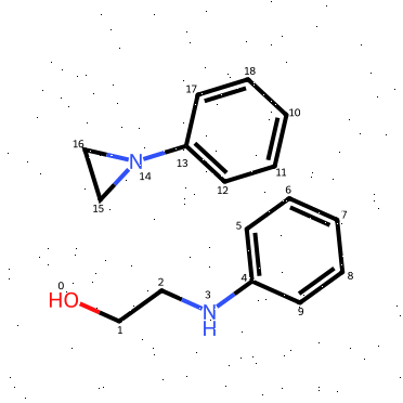 OCCNc1ccccc1.c1ccc(N2CC2)cc1